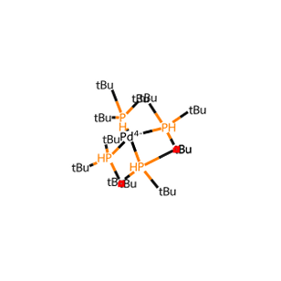 CC(C)(C)[PH](C(C)(C)C)(C(C)(C)C)[Pd-4]([PH](C(C)(C)C)(C(C)(C)C)C(C)(C)C)([PH](C(C)(C)C)(C(C)(C)C)C(C)(C)C)[PH](C(C)(C)C)(C(C)(C)C)C(C)(C)C